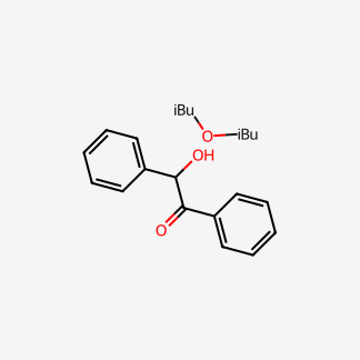 CCC(C)OC(C)CC.O=C(c1ccccc1)C(O)c1ccccc1